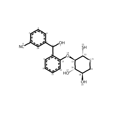 N#Cc1cccc(C(O)c2ccccc2O[C@@H]2[C@@H](O)[C@H](O)CS[C@H]2S)c1